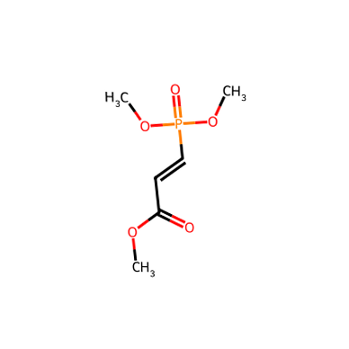 COC(=O)C=CP(=O)(OC)OC